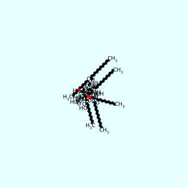 CCCCCCCCCCCCCC(=O)O[C@H](CCCCCCCCCCC)CC(=O)N[C@@H](COC(=O)C[C@H](O)CCCCCCCCC)[C@H](OC(CO[C@@H]1OC(CO)[C@@H](OP(=O)(O)O)C(OC(=O)C[C@H](O)CCCCCCCCCCC)[C@@H]1NC(=O)C[C@@H](CCCCCCCCCCC)OC(=O)CCCCCCCCCCCCC)[C@H](C)O)OP(=O)(O)OP(=O)(O)O